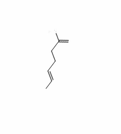 NC(=S)CCC=CF